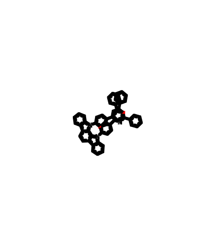 c1ccc(-c2cccc(-c3ccc(-n4c5ccccc5c5ccc6c7ccccc7n(-c7ccc(-c8cc(-c9ccccc9)cc(-c9ccccc9)n8)cc7)c6c54)cc3)c2)cc1